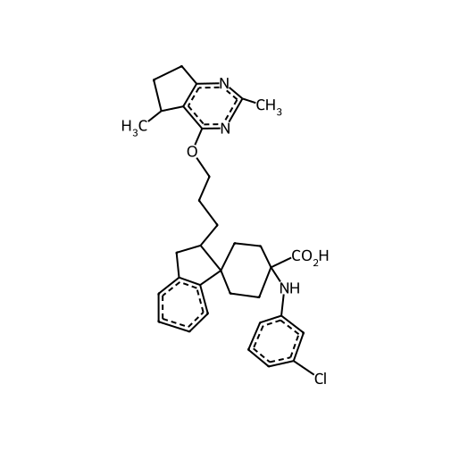 Cc1nc2c(c(OCCCC3Cc4ccccc4C34CCC(Nc3cccc(Cl)c3)(C(=O)O)CC4)n1)C(C)CC2